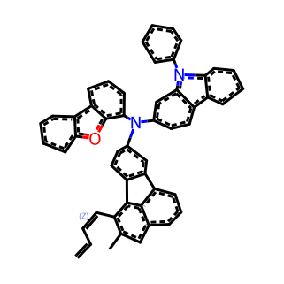 C=C/C=C\c1c(C)cc2cccc3c2c1-c1ccc(N(c2ccc4c5ccccc5n(-c5ccccc5)c4c2)c2cccc4c2oc2ccccc24)cc1-3